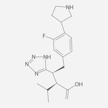 C=C(O)[C@@H](C(C)C)[C@H](Cc1ccc(C2CCNC2)c(F)c1)c1nnn[nH]1